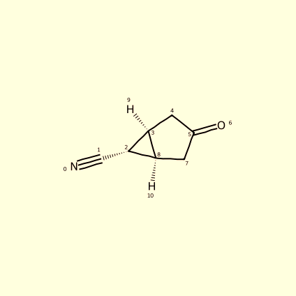 N#C[C@@H]1[C@H]2CC(=O)C[C@@H]12